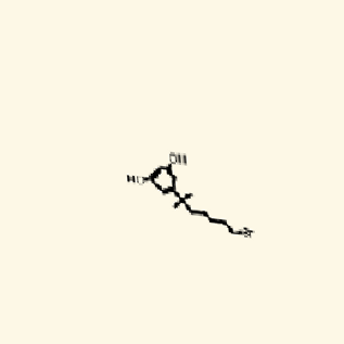 CC(C)(CCCCCBr)c1cc(O)cc(O)c1